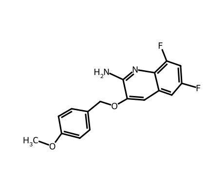 COc1ccc(COc2cc3cc(F)cc(F)c3nc2N)cc1